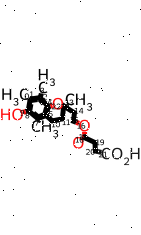 Cc1c(C)c2c(c(C)c1O)CCC(C)(CCOC(=O)CCC(=O)O)O2